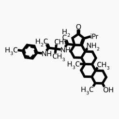 C=C(Nc1ccc(C)cc1)C(C)(C)NC(=C)C12CCC3C(N)(CCC4C5(C)CCC(O)C(C)C5CCC34C)C1=C(C(C)C)C(=O)C2